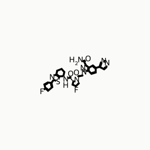 NC(=O)c1nn(CC(=O)N2C[C@H](F)C[C@H]2C(=O)NC2CCCc3nc(-c4ccc(F)cc4)sc32)c2ccc(-c3ccnnc3)cc12